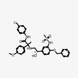 COc1ccc(C(C)(NC[C@@H](O)c2ccc(OCc3ccccc3)c(NS(C)(=O)=O)c2)C(=O)Nc2ccc(Cl)cc2)cc1